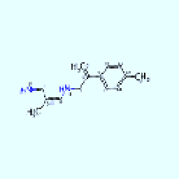 C=C(CN/C=C(/C)C=N)c1ccc(C)cc1